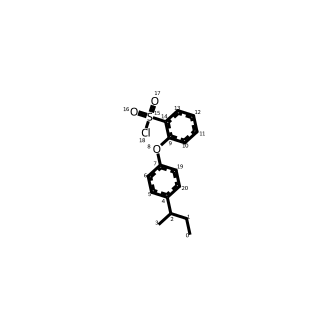 CCC(C)c1ccc(Oc2ccccc2S(=O)(=O)Cl)cc1